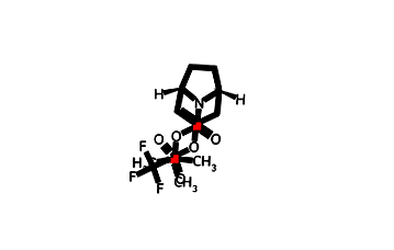 CC(C)(C)OC(=O)N1[C@@H]2CC[C@H]1C=C(OS(=O)(=O)C(F)(F)F)C2